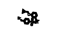 C[C@@H](NS(=O)(=O)c1ccc(CBr)cc1)c1cccc(OCC2CC2)c1